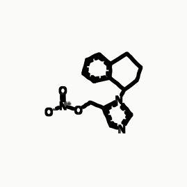 O=[N+]([O-])OCc1cncn1C1CCCc2ccccc21